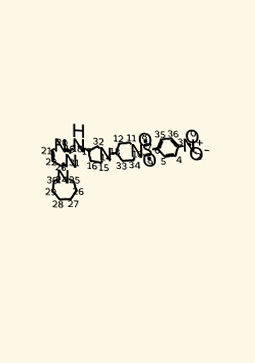 O=[N+]([O-])c1ccc(S(=O)(=O)N2CCC(N3CCC(Nc4nccc(N5CCCCCC5)n4)C3)CC2)cc1